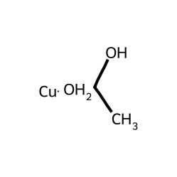 CCO.O.[Cu]